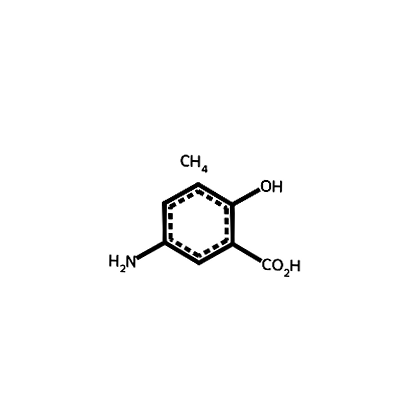 C.Nc1ccc(O)c(C(=O)O)c1